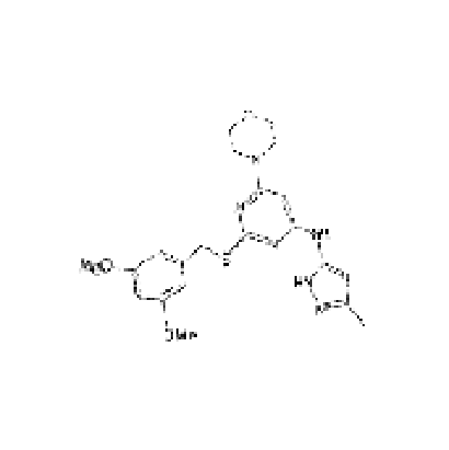 COc1cc(CSc2nc(Nc3cc(C)n[nH]3)cc(N3CCOCC3)n2)cc(OC)c1